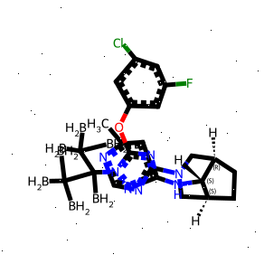 BC(B)(B)C(B)(n1nc(N[C@@H]2[C@@H]3CC[C@H]2CN(c2cc(C)ncn2)C3)nc1Oc1cc(F)cc(Cl)c1)C(B)(B)B